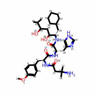 COc1ccc(C[C@H](NC(=O)CC(C)(C)N)C(=O)N[C@@H](Cc2c[nH]cn2)C(=O)N[C@@H](CC2CCCCC2)C(O)CC(O)C(C)C)cc1